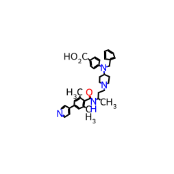 Cc1cc(-c2ccncc2)cc(C)c1C(=O)NC(C)CCN1CCC(N(Cc2ccccc2)c2ccc(C(=O)O)cc2)CC1